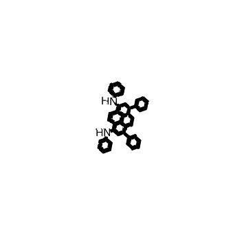 c1ccc(Nc2cc(-c3ccccc3)c3ccc4c(-c5ccccc5)cc(Nc5ccccc5)c5ccc2c3c54)cc1